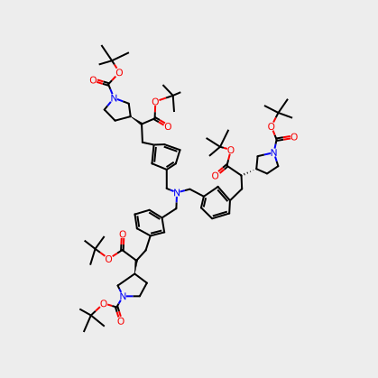 CC(C)(C)OC(=O)C(Cc1cccc(CN(Cc2cccc(CC(C(=O)OC(C)(C)C)[C@H]3CCN(C(=O)OC(C)(C)C)C3)c2)Cc2cccc(CC(C(=O)OC(C)(C)C)[C@H]3CCN(C(=O)OC(C)(C)C)C3)c2)c1)[C@H]1CCN(C(=O)OC(C)(C)C)C1